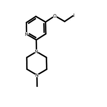 CN1CCN(c2cc(OCI)ccn2)CC1